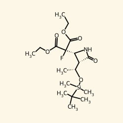 CCOC(=O)C(F)(C(=O)OCC)[C@@H]1NC(=O)[C@@H]1[C@@H](C)O[Si](C)(C)C(C)(C)C